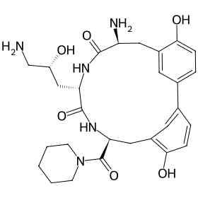 NC[C@H](O)C[C@@H]1NC(=O)[C@@H](N)Cc2cc(ccc2O)-c2ccc(O)c(c2)C[C@@H](C(=O)N2CCCCC2)NC1=O